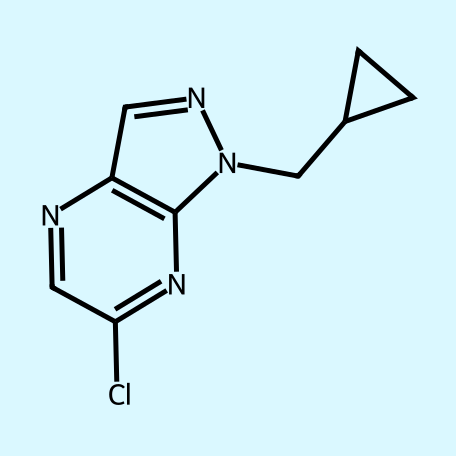 Clc1cnc2cnn(CC3CC3)c2n1